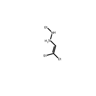 CCN[SiH2]C=C(CC)CC